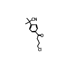 CC(C)(C#N)c1ccc(C(=O)CCCCl)cc1